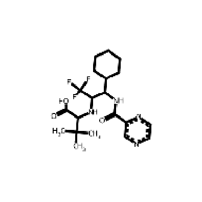 CC(C)(C)C(NC(C(NC(=O)c1cnccn1)C1CCCCC1)C(F)(F)F)C(=O)O